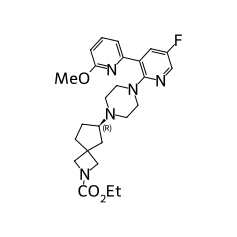 CCOC(=O)N1CC2(CC[C@@H](N3CCN(c4ncc(F)cc4-c4cccc(OC)n4)CC3)C2)C1